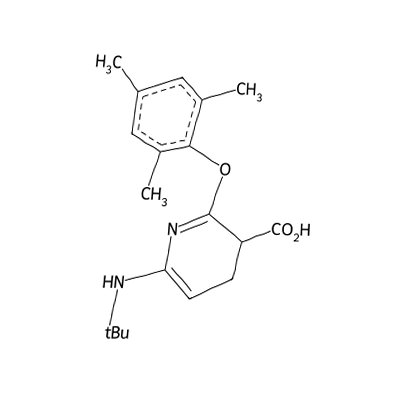 Cc1cc(C)c(OC2=NC(NC(C)(C)C)=CCC2C(=O)O)c(C)c1